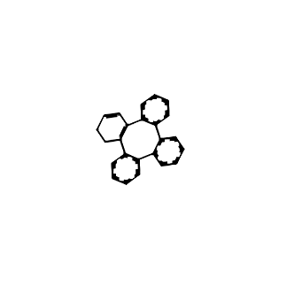 C1=CC2=C(CC1)c1ccccc1-c1ccccc1-c1ccccc12